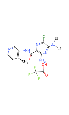 CCN(CC)c1nc(N)c(C(=O)Nc2cnccc2C)nc1Cl.O=C(O)C(F)(F)F